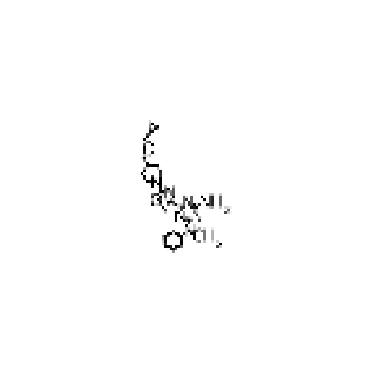 CN(c1ccccc1)c1nc(N)nc(-c2noc(N3CCC(COCC4CC4)CC3)n2)n1